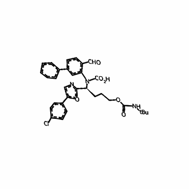 CC(C)(C)NC(=O)OCCC[C@@H](c1ncc(-c2ccc(Cl)cc2)o1)N(C(=O)O)c1cc(-c2ccccc2)ccc1C=O